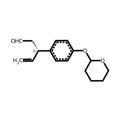 C=C[C@H](CC=O)c1ccc(OC2CCCCO2)cc1